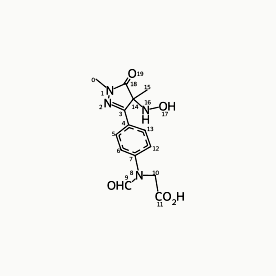 CN1N=C(c2ccc(N(C=O)CC(=O)O)cc2)C(C)(NO)C1=O